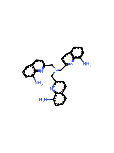 Nc1cccc2ccc(CN(Cc3ccc4cccc(N)c4n3)Cc3ccc4cccc(N)c4n3)nc12